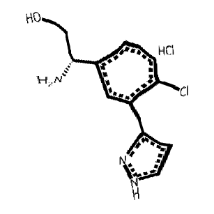 Cl.N[C@H](CO)c1ccc(Cl)c(-c2cc[nH]n2)c1